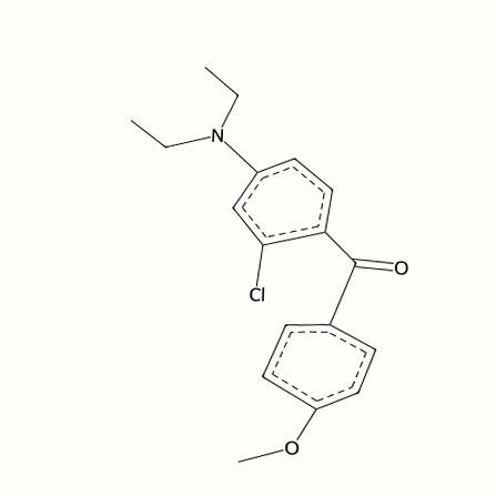 CCN(CC)c1ccc(C(=O)c2ccc(OC)cc2)c(Cl)c1